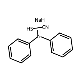 N#CS.[NaH].c1ccc(Nc2ccccc2)cc1